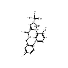 O=C(NCc1cc(F)ccc1F)C1=CC(C(F)(F)F)NN1c1ccccc1Cl